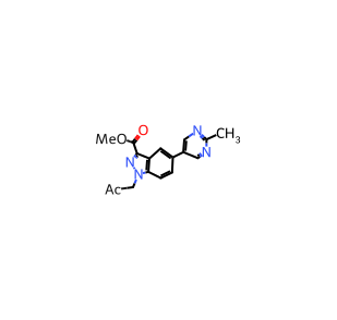 COC(=O)c1nn(CC(C)=O)c2ccc(-c3cnc(C)nc3)cc12